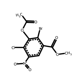 COC(=O)c1cc([N+](=O)[O-])c(Cl)c(OC(C)=O)c1Br